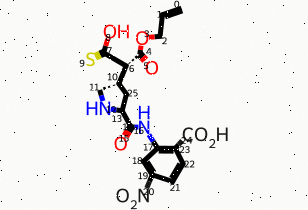 C=CCOC(=O)[C@@H](C(O)=S)[C@H]1CNC(C(=O)Nc2cc([N+](=O)[O-])ccc2C(=O)O)C1